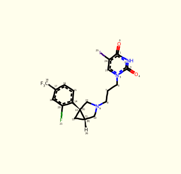 O=c1[nH]c(=O)n(CCCN2C[C@@H]3C[C@]3(c3ccc(C(F)(F)F)cc3F)C2)cc1I